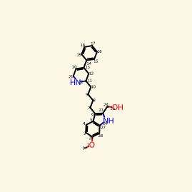 COc1ccc2c(CCCCC3CC(c4ccccc4)=CCN3)c(CO)[nH]c2c1